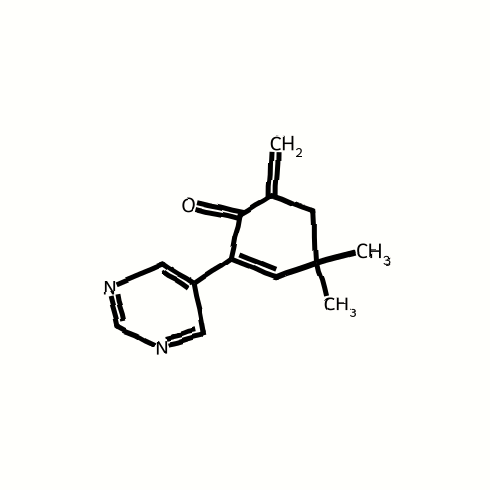 C=C1CC(C)(C)C=C(c2cncnc2)C1=O